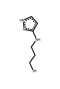 CC(C)CCCNc1cc[nH]n1